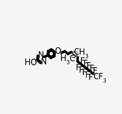 C[Si](C)(CCCCOc1ccc(-c2ncc(O)cn2)cc1)CCC(F)(F)C(F)(F)C(F)(F)C(F)(F)C(F)(F)C(F)(F)F